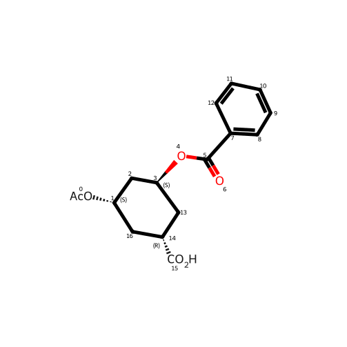 CC(=O)O[C@@H]1C[C@@H](OC(=O)c2ccccc2)C[C@H](C(=O)O)C1